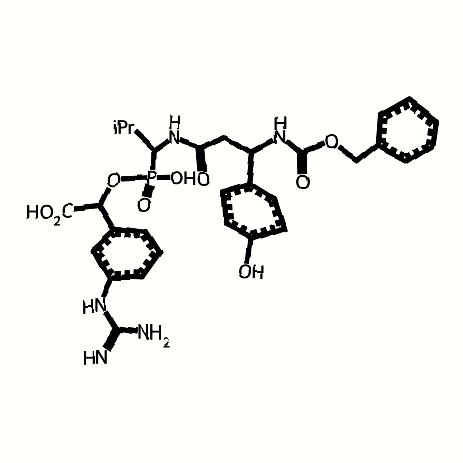 CC(C)C(NC(=O)CC(NC(=O)OCc1ccccc1)c1ccc(O)cc1)P(=O)(O)OC(C(=O)O)c1cccc(NC(=N)N)c1